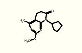 CSc1nc(C)c2c(n1)N(C1CCCC1)C(=O)CC2